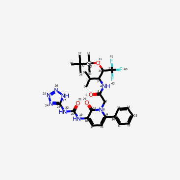 CC(C)C(NC(=O)Cn1c(-c2ccccc2)ccc(NC(=O)Nc2nnn[nH]2)c1=O)C(O[Si](C)(C)C(C)(C)C)C(F)(F)F